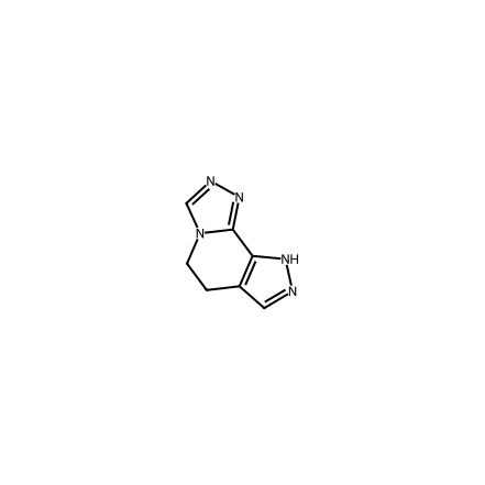 c1n[nH]c2c1CCn1cnnc1-2